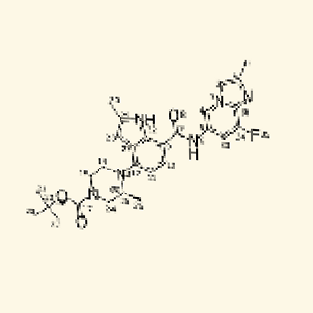 Cc1cn2cc(NC(=O)c3ccc(N4CCN(C(=O)OC(C)(C)C)C[C@@H]4C)c4cc(C)[nH]c34)cc(F)c2n1